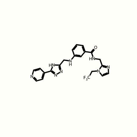 O=C(NCc1nccn1CC(F)(F)F)c1cccc(NCc2nnc(-c3ccncc3)[nH]2)c1